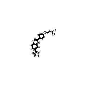 CCN(CC)CCOc1ccc(-c2cnc3ccc(C(=O)NO)cc3n2)cc1